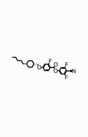 CCCCC[C@H]1CC[C@H](COc2ccc(C(=O)Oc3cc(F)c(C#N)c(F)c3)c(F)c2)CC1